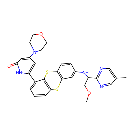 COCC(Nc1ccc2c(c1)Sc1cccc(-c3cc(N4CCOCC4)cc(=O)[nH]3)c1S2)c1ncc(C)cn1